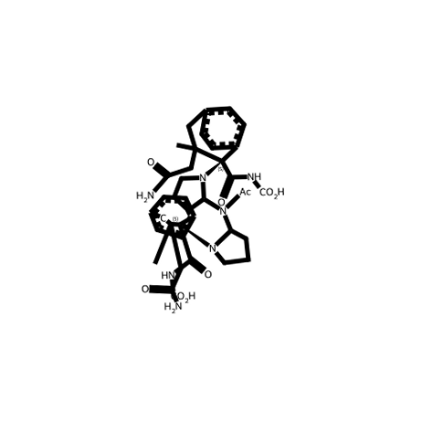 CC(=O)N(C1CCCN1[C@]1(C(=O)NC(=O)O)c2ccc(cc2)CC1(C)CC(N)=O)C1CCCN1[C@]1(C(=O)NC(=O)O)c2ccc(cc2)CC1(C)CC(N)=O